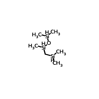 C[SiH](C)C[SiH](C)O[SiH](C)C